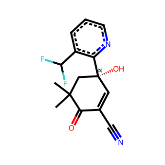 CC1(C)C[C@@](O)(c2ncccc2C(F)F)C=C(C#N)C1=O